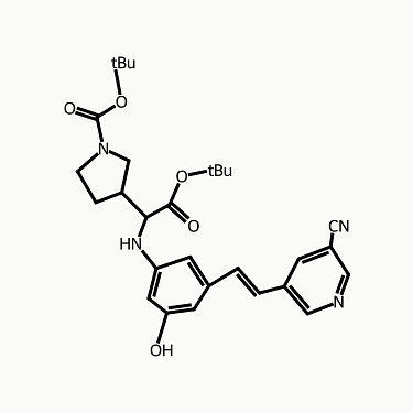 CC(C)(C)OC(=O)C(Nc1cc(O)cc(/C=C/c2cncc(C#N)c2)c1)C1CCN(C(=O)OC(C)(C)C)C1